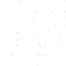 CCCC[N+]1(CCOc2ccc3ccccc3c2)CCCC1.[Br-]